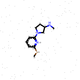 CNC1CCN(c2cccc(SC)n2)C1